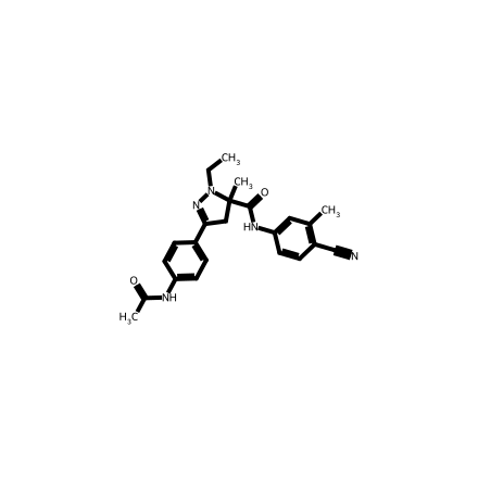 CCN1N=C(c2ccc(NC(C)=O)cc2)CC1(C)C(=O)Nc1ccc(C#N)c(C)c1